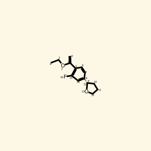 C=C(OCC)c1ccc([C@@H]2CCCO2)cc1F